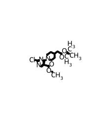 CCOC(=O)c1cnc(Cl)nc1N1CCC(CC(=O)OC(C)(C)C)CC1